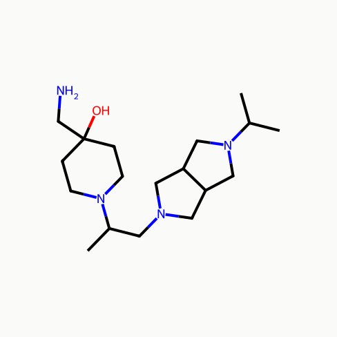 CC(C)N1CC2CN(CC(C)N3CCC(O)(CN)CC3)CC2C1